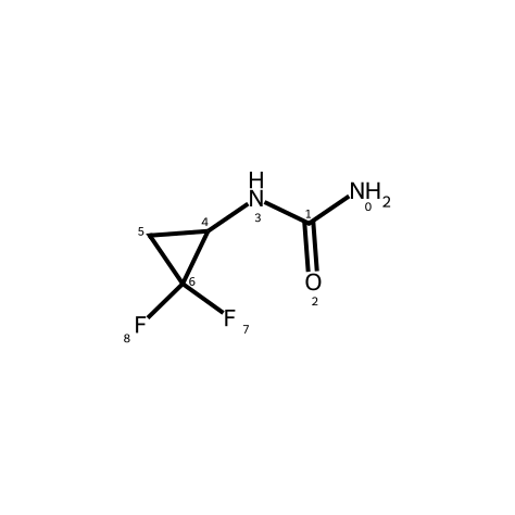 NC(=O)NC1CC1(F)F